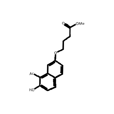 COC(=O)CCCOc1ccc2ccc(O)c(C(C)=O)c2c1